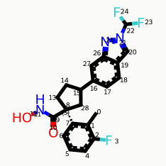 Cc1c(F)cccc1[C@]1(C(=O)NO)CCC(c2ccc3cn(C(F)F)nc3c2)C1